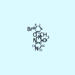 Cn1c(Oc2ccccc2Br)nc2cnccc2c1=O